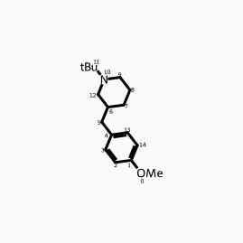 COc1ccc(CC2CCCN(C(C)(C)C)C2)cc1